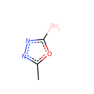 Bc1nnc(C)o1